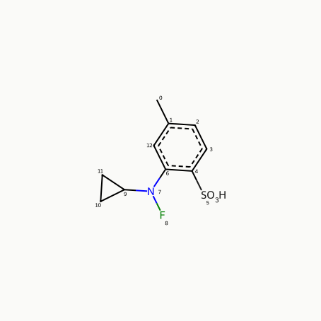 Cc1ccc(S(=O)(=O)O)c(N(F)C2CC2)c1